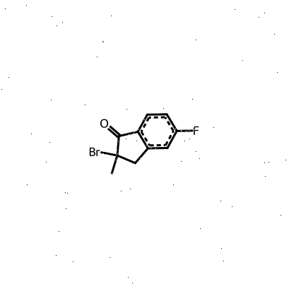 CC1(Br)Cc2cc(F)ccc2C1=O